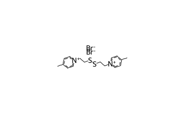 Cc1cc[n+](CCSSCC[n+]2ccc(C)cc2)cc1.[Br-].[Br-]